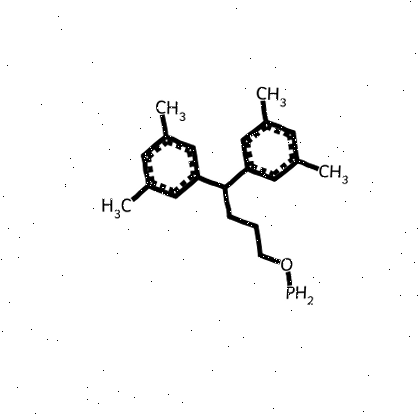 Cc1cc(C)cc(C(CCCOP)c2cc(C)cc(C)c2)c1